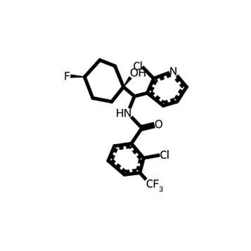 O=C(NC(c1cccnc1Cl)[C@]1(O)CC[C@@H](F)CC1)c1cccc(C(F)(F)F)c1Cl